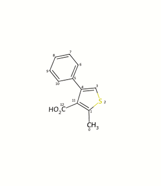 Cc1scc(-c2ccccc2)c1C(=O)O